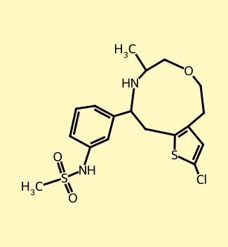 CC1COCCc2cc(Cl)sc2CC(c2cccc(NS(C)(=O)=O)c2)N1